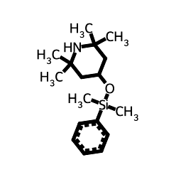 CC1(C)CC(O[Si](C)(C)c2ccccc2)CC(C)(C)N1